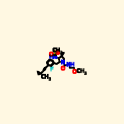 COCCNC(=O)N1CC2(CC2)C(NS(C)(=O)=O)C1Cc1cccc(C#CC2(C)CC2)c1F